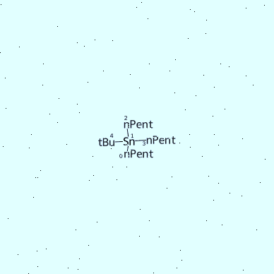 CCCC[CH2][Sn]([CH2]CCCC)([CH2]CCCC)[C](C)(C)C